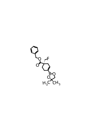 CC1(C)COB(C2=CC[C@](CF)(C(=O)OCc3ccccc3)CC2)O1